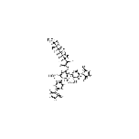 O=C(O)c1cc(OC(F)=C(F)C(F)(F)C(F)(F)C(F)(F)C(F)(F)C(F)(F)C(F)(F)C(F)(F)F)c(-c2ccc(N3C(=O)C=CC3=O)cc2)c(C(=O)O)c1-c1ccc(N2C(=O)C=CC2=O)cc1